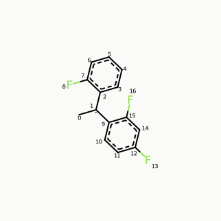 C[C](c1ccccc1F)c1ccc(F)cc1F